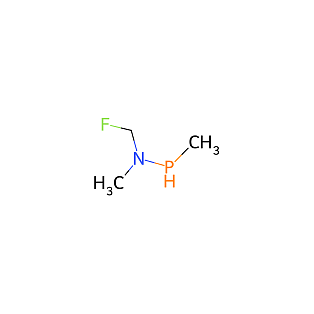 CPN(C)CF